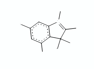 CC1=[N+](C)c2cc(I)cc(I)c2C1(C)C